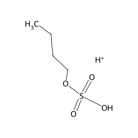 CCCCOS(=O)(=O)O.[H+]